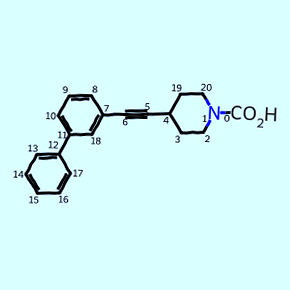 O=C(O)N1CCC(C#Cc2cccc(-c3ccccc3)c2)CC1